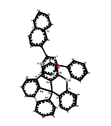 c1ccc(-c2nc(-c3ccc4ccccc4c3)nc(-c3ccccc3C3(c4ccccc4)c4ccccc4Oc4ccccc43)n2)cc1